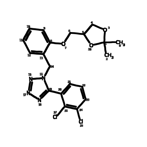 CC1(C)OCC(COc2ccccc2Cn2nnnc2-c2cccc(Cl)c2Cl)O1